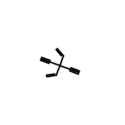 C#CC(C#C)(C=C)C=C